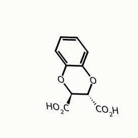 O=C(O)[C@H]1Oc2ccccc2O[C@@H]1C(=O)O